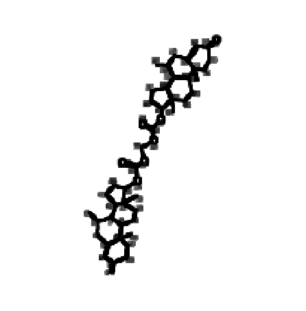 C=C1C=C2CC(C)C3C(CCC4(C)C(OC(=O)OCOC(=O)OC5CCC6C7C(C)CC8=CC(=O)CCC8(C)C7CCC56C)CCC34)C2(C)CC1